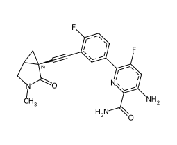 CN1CC2C[C@]2(C#Cc2cc(-c3nc(C(N)=O)c(N)cc3F)ccc2F)C1=O